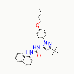 CCCCOc1ccc(-n2nc(C(C)(C)C)cc2NC(=O)Nc2cccc3ccccc23)cc1